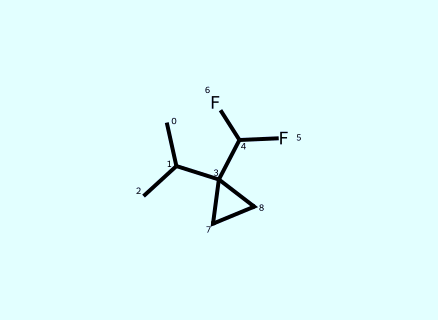 CC(C)C1(C(F)F)CC1